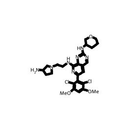 COc1cc(OC)c(Cl)c(-c2cc3cnc(NC4CCCOC4)nc3c(NCCN3CCC(N)C3)n2)c1Cl